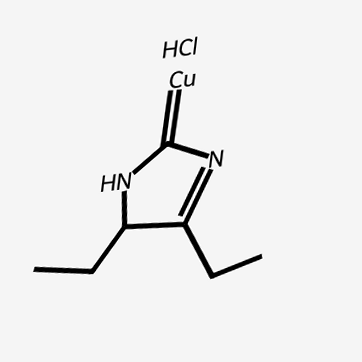 CCC1=N[C](=[Cu])NC1CC.Cl